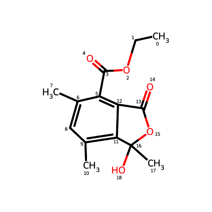 CCOC(=O)c1c(C)cc(C)c2c1C(=O)OC2(C)O